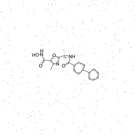 Cc1nc([C@H](C)NC(=O)c2ccc(-c3ccccc3)cc2)oc1C(=O)NO